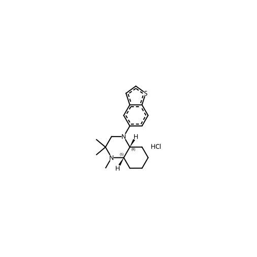 CN1[C@H]2CCCC[C@H]2N(c2ccc3sccc3c2)CC1(C)C.Cl